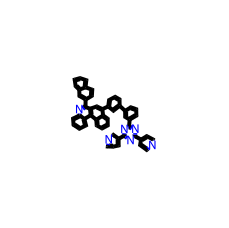 c1cncc(-c2nc(-c3ccncc3)nc(-c3cccc(-c4cccc(-c5cc6c(-c7ccc8ccccc8c7)nc7ccccc7c6c6ccccc56)c4)c3)n2)c1